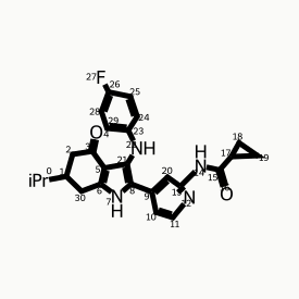 CC(C)C1CC(=O)c2c([nH]c(-c3ccnc(NC(=O)C4CC4)c3)c2Nc2ccc(F)cc2)C1